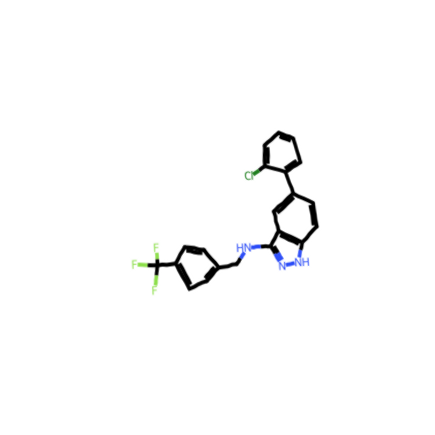 FC(F)(F)c1ccc(CNc2n[nH]c3ccc(-c4ccccc4Cl)cc23)cc1